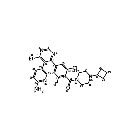 CCc1ncnc(-c2cc(F)c(C(=O)N3CCN(C4CCC4)CC3)c(Cl)c2)c1-c1ccc(N)nc1